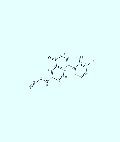 Cc1c(F)cccc1-c1c[nH]c(=O)c2cc(OCC#N)ccc12